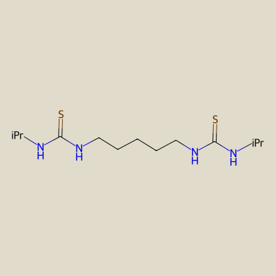 CC(C)NC(=S)NCCCCCNC(=S)NC(C)C